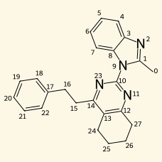 Cc1nc2ccccc2n1-c1nc2c(c(CCc3ccccc3)n1)CCCC2